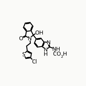 O=C(O)Nc1nc2cc(C3(O)c4ccccc4C(=O)N3CCc3cc(Cl)cs3)ccc2[nH]1